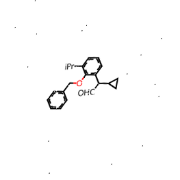 CC(C)c1cccc(C(C=O)C2CC2)c1OCc1ccccc1